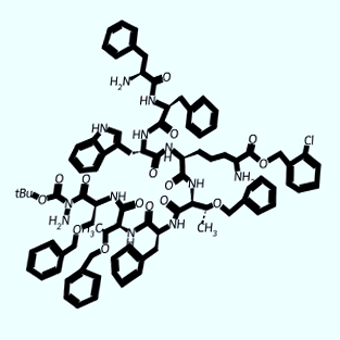 C[C@@H](OCc1ccccc1)[C@H](NC(=O)[C@H](CCCC(N)C(=O)OCc1ccccc1Cl)NC(=O)[C@H](Cc1c[nH]c2ccccc12)NC(=O)[C@H](Cc1ccccc1)NC(=O)[C@@H](N)Cc1ccccc1)C(=O)N[C@@H](Cc1ccccc1)C(=O)N[C@H](C(=O)N[C@@H](COCc1ccccc1)C(=O)N(N)C(=O)OC(C)(C)C)[C@@H](C)OCc1ccccc1